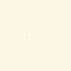 O=[N+]([O-])c1cc(NCc2ccccc2Sc2cccc(Cl)c2)ccc1O